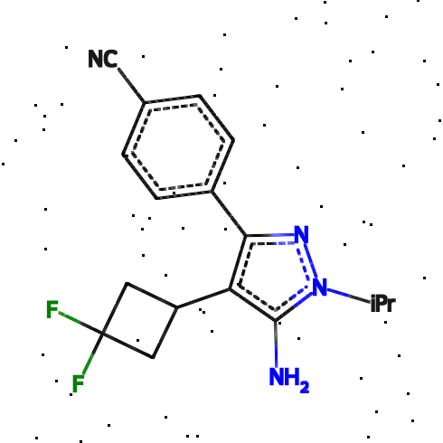 CC(C)n1nc(-c2ccc(C#N)cc2)c(C2CC(F)(F)C2)c1N